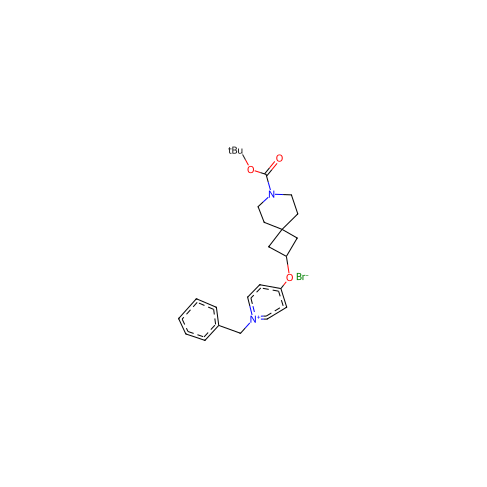 CC(C)(C)OC(=O)N1CCC2(CC1)CC(Oc1cc[n+](Cc3ccccc3)cc1)C2.[Br-]